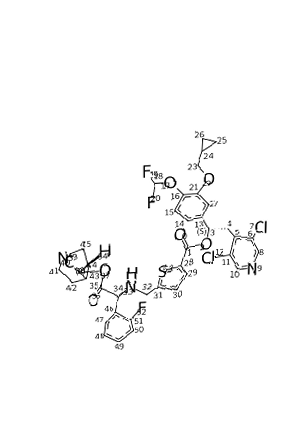 O=C(O[C@@H](Cc1c(Cl)cncc1Cl)c1ccc(OC(F)F)c(OCC2CC2)c1)c1ccc(CNC(C(=O)O[C@H]2CN3CCC2CC3)c2ccccc2F)s1